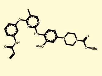 C=CC(=O)Nc1cccc(Oc2nc(Nc3ccc(N4CCN(C(=O)OC(C)(C)C)CC4)cc3OC)ncc2C)c1